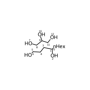 CCCCCCC(O)CCCO.OCC(O)CO